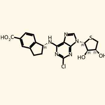 O=C(O)c1ccc2c(c1)CC[C@H]2Nc1nc(Cl)nc2c1ncn2[C@@H]1SC[C@@H](O)[C@H]1O